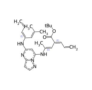 C=C/C=C(\C=C(C)C)Nc1cc(N/C(C)=C/C(=C\C=C)C(=O)OC(C)(C)C)n2nccc2n1